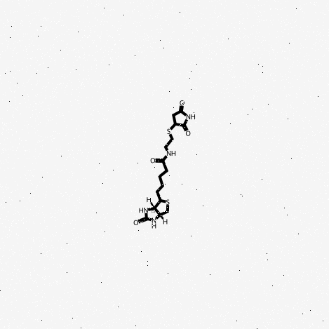 O=C(CCCCC1SC[C@@H]2NC(=O)N[C@H]12)NCCSC1CC(=O)NC1=O